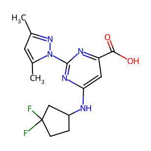 Cc1cc(C)n(-c2nc(NC3CCC(F)(F)C3)cc(C(=O)O)n2)n1